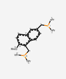 CCCP(CCC)Cc1ccc2c(CP(CCC)CCC)c(OC)ccc2c1